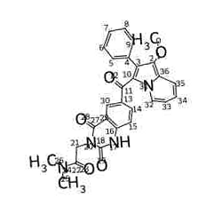 COc1c(-c2ccccc2)c(C(=O)c2ccc3[nH]c(=O)n(CC(=O)N(C)C)c(=O)c3c2)n2ccccc12